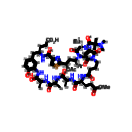 CC[C@H](C)[C@H](NC(=O)C(C)(C)N(C)C)C(=O)N(C)[C@H](C[C@@H](OC(C)=O)c1nc(C(=O)N[C@H](CCC(=O)O)Cc2ccc(O)c(NC(=O)[C@H](C)NC(=O)[C@H](C)NC(=O)[C@H](C)NC(=O)[C@H](CCC(=O)OC)NC(=O)CCCN3C(=O)C=CC3=O)c2)cs1)C(C)C